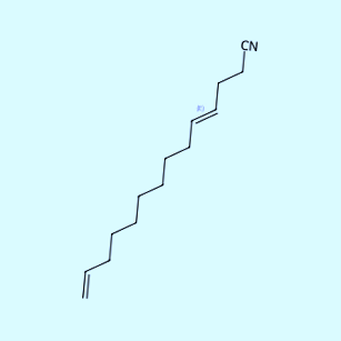 C=CCCCCCCC/C=C/CCC#N